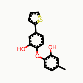 Cc1ccc(Oc2ccc(-c3cccs3)cc2O)c(O)c1